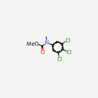 [CH2]OC(=O)N(C)c1cc(Cl)c(Cl)c(Cl)c1